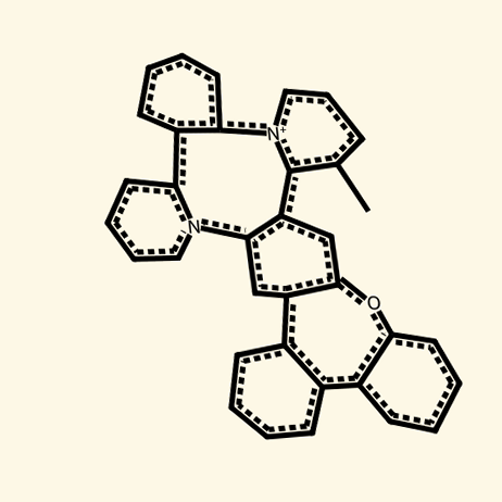 Cc1ccc[n+]2c3ccccc3c3cccc[n+]3c3cc4c(cc3c12)oc1ccccc1c1ccccc41